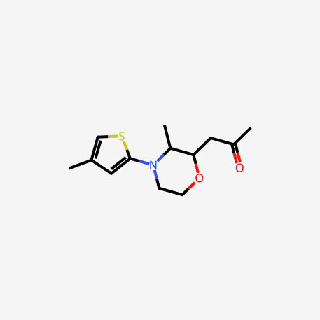 CC(=O)CC1OCCN(c2cc(C)cs2)C1C